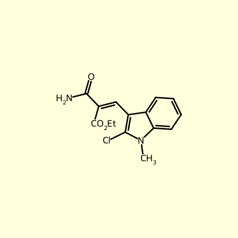 CCOC(=O)C(=Cc1c(Cl)n(C)c2ccccc12)C(N)=O